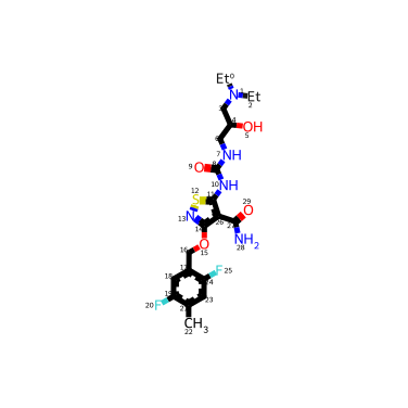 CCN(CC)CC(O)CNC(=O)Nc1snc(OCc2cc(F)c(C)cc2F)c1C(N)=O